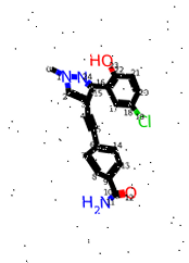 Cn1cc(C#Cc2ccc(C(N)=O)cc2)c(-c2cc(Cl)ccc2O)n1